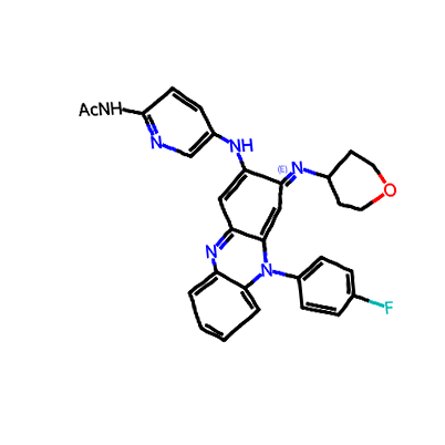 CC(=O)Nc1ccc(Nc2cc3nc4ccccc4n(-c4ccc(F)cc4)c-3c/c2=N\C2CCOCC2)cn1